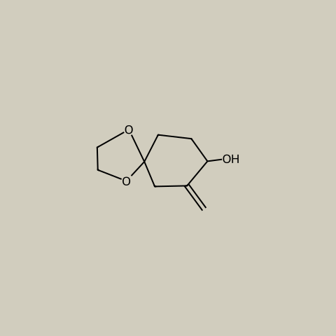 C=C1CC2(CCC1O)OCCO2